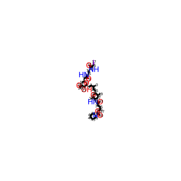 CC(C=C[C@H]1O[C@H](CC(=O)NCCNC(=O)CI)C[C@@]2(CO2)[C@@H]1O)=CC[C@@H]1O[C@H](C)[C@H](NC(=O)C=C[C@H](C)OC(=O)N2CCCCC2)C[C@@H]1C